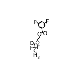 CC(F)(F)C(=O)OCCOC(=O)c1cc(F)cc(F)c1